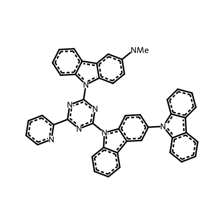 CNc1ccc2c(c1)c1ccccc1n2-c1nc(-c2ccccn2)nc(-n2c3ccccc3c3cc(-n4c5ccccc5c5ccccc54)ccc32)n1